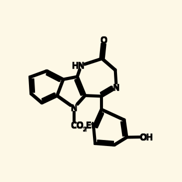 CCOC(=O)n1c2c(c3ccccc31)NC(=O)CN=C2c1cccc(O)c1